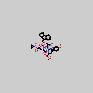 COC(=O)[C@@H]1Cc2c([nH]c3cc(OC)ccc23)[C@H](CC(C)C)N1C(=O)[C@H](CCC(=O)NC1CC1)NC(=O)OCC1c2ccccc2-c2ccccc21